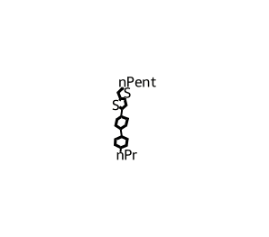 CCCCCc1cc2sc(-c3ccc(-c4ccc(CCC)cc4)cc3)cc2s1